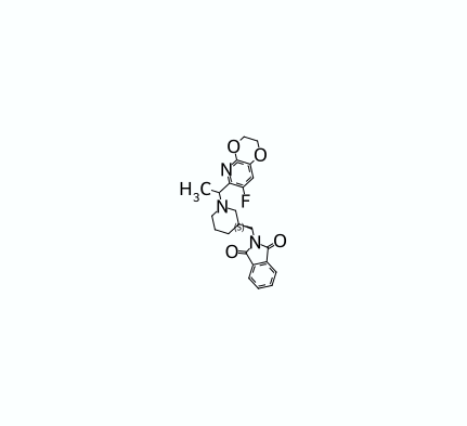 CC(c1nc2c(cc1F)OCCO2)N1CCC[C@H](CN2C(=O)c3ccccc3C2=O)C1